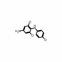 Nc1cc(Cl)c(Nc2ccc(Cl)cc2)c(Cl)c1